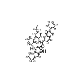 CC(C)(C)c1ccc(N(C(=O)c2ccc3nc(-c4ccccc4)oc3c2)C(C(=O)N[C@H]2c3ccccc3C[C@H]2O)c2cccnc2)cc1